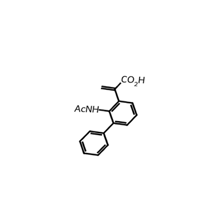 C=C(C(=O)O)c1cccc(-c2ccccc2)c1NC(C)=O